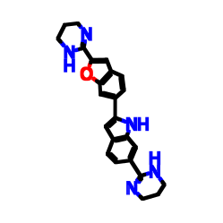 c1cc2cc(-c3ccc4cc(C5=NCCCN5)oc4c3)[nH]c2cc1C1=NCCCN1